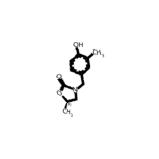 Cc1cc(CN2C[C@@H](C)OC2=O)ccc1O